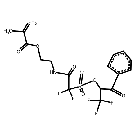 C=C(C)C(=O)OCCNC(=O)C(F)(F)S(=O)(=O)OC(C(=O)c1ccccc1)C(F)(F)F